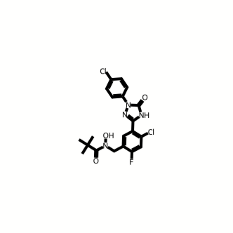 CC(C)(C)C(=O)N(O)Cc1cc(-c2nn(-c3ccc(Cl)cc3)c(=O)[nH]2)c(Cl)cc1F